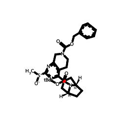 C[S+]([O-])c1nc2c(c(N3C[C@H]4CC[C@@H](C3)N4C(=O)OC(C)(C)C)n1)CCN(C(=O)OCc1ccccc1)C2